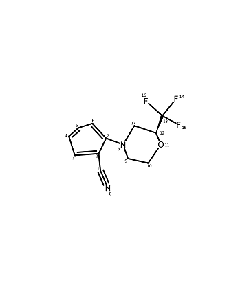 N#Cc1ccccc1N1CCO[C@H](C(F)(F)F)C1